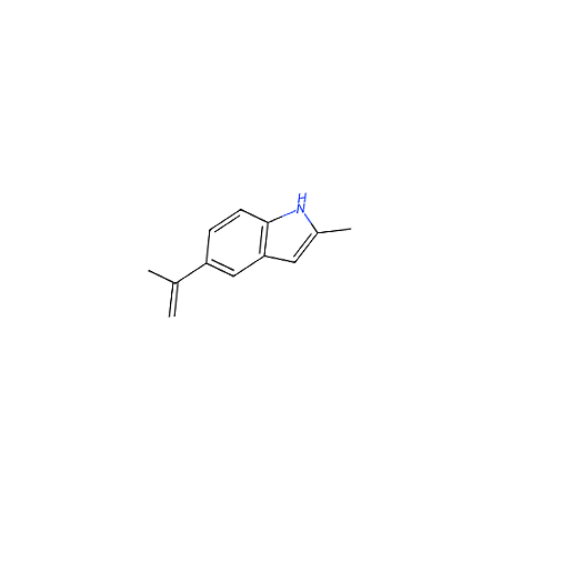 C=C(C)c1ccc2[nH]c(C)cc2c1